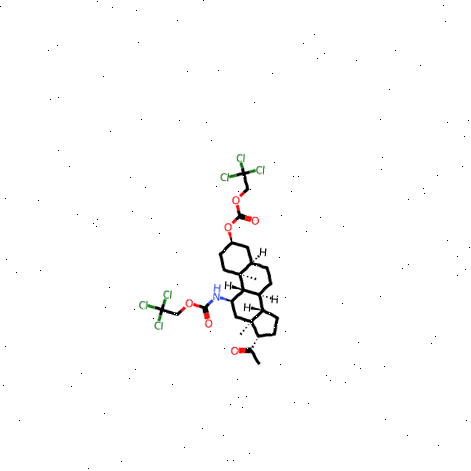 CC(=O)[C@H]1CC[C@H]2[C@@H]3CC[C@@H]4C[C@H](OC(=O)OCC(Cl)(Cl)Cl)CC[C@]4(C)[C@H]3[C@H](NC(=O)OCC(Cl)(Cl)Cl)C[C@]12C